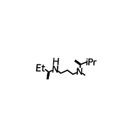 C=C(CC)NCCCN(C)C(=C)C(C)C